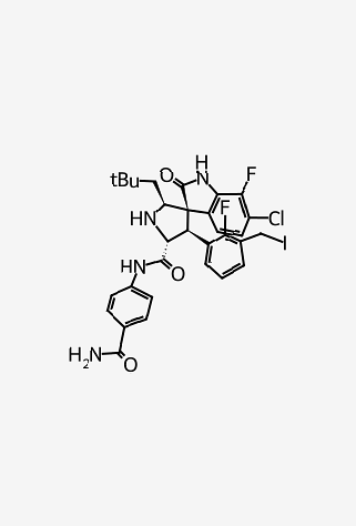 CC(C)(C)C[C@@H]1N[C@@H](C(=O)Nc2ccc(C(N)=O)cc2)[C@H](c2cccc(CI)c2F)[C@]12C(=O)Nc1c2ccc(Cl)c1F